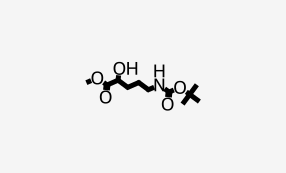 COC(=O)C(O)CCCNC(=O)OC(C)(C)C